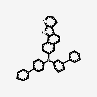 c1ccc(-c2ccc(N(c3cccc(-c4ccccc4)c3)c3ccc4c(ccc5c6cccnc6oc45)c3)cc2)cc1